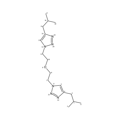 CC(C)Cc1cn(CCOCCn2cc(CC(C)C)nn2)nn1